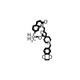 CCOC(=O)C1(CCCn2c(=O)ccc3ccc(C)cc32)CCN(Cc2ccc3c(c2)OCCO3)CC1